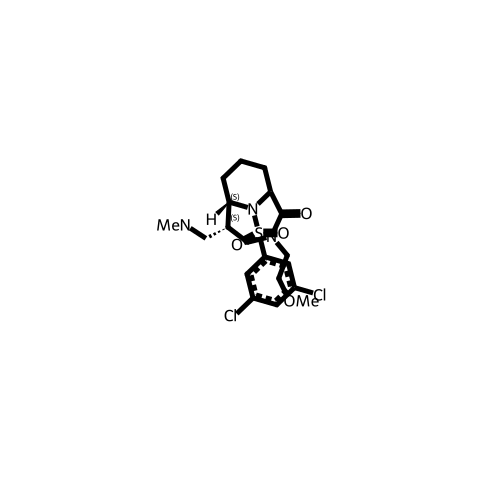 CNC[C@H]1CN(CCOC)C(=O)C2CCC[C@@H]1N2S(=O)(=O)c1cc(Cl)cc(Cl)c1